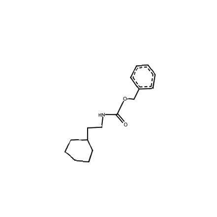 O=C(NCCC1CCCCC1)OCc1ccccc1